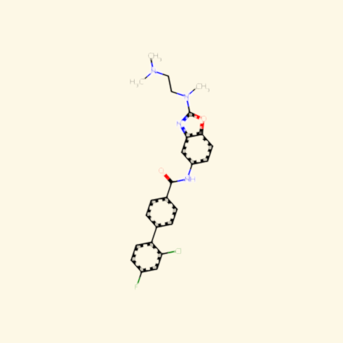 CN(C)CCN(C)c1nc2cc(NC(=O)c3ccc(-c4ccc(F)cc4Cl)cc3)ccc2o1